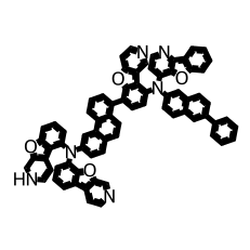 C1=Cc2c(oc3cccc(N(c4ccc5ccc6c(-c7ccc(N(c8ccc9cc(-c%10ccccc%10)ccc9c8)c8ccnc9c8oc8ccccc89)c8c7oc7ccncc78)cccc6c5c4)c4cccc5c4oc4cnccc45)c23)CN1